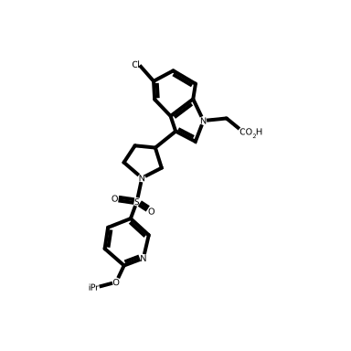 CC(C)Oc1ccc(S(=O)(=O)N2CCC(c3cn(CC(=O)O)c4ccc(Cl)cc34)C2)cn1